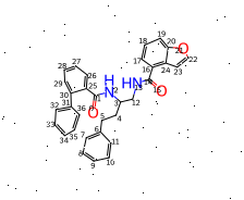 O=C(NC(CCc1ccccc1)CNC(=O)c1cccc2occc12)c1ccccc1-c1ccccc1